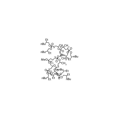 CCCCC(CC)COP(=O)(OCC(CC)CCCC)SCC(C)OP(=O)(OC(C)CSP(=O)(OCC(CC)CCCC)OCC(CC)CCCC)SCC(C)OP(=O)(OC(C)CSP(=O)(OC(C)CSP(=O)(OCC(CC)CCCC)OCC(CC)CCCC)OC(C)CSP(=O)(OCC(CC)CCCC)OCC(CC)CCCC)SCCC(=O)OC